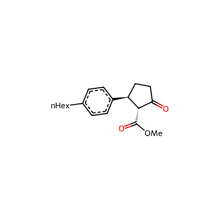 CCCCCCc1ccc([C@H]2CCC(=O)[C@@H]2C(=O)OC)cc1